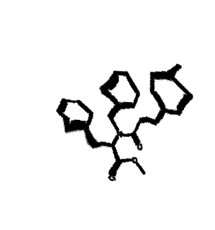 COC(=O)C(Cc1ccccc1)N(Cc1ccccc1)C(=O)C=Cc1ccc(C)cc1